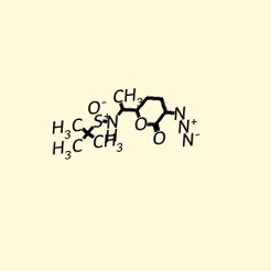 CC(N[S+]([O-])C(C)(C)C)C1CCC(N=[N+]=[N-])C(=O)O1